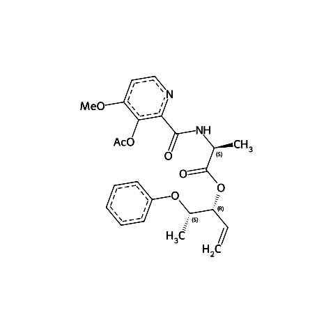 C=C[C@@H](OC(=O)[C@H](C)NC(=O)c1nccc(OC)c1OC(C)=O)[C@H](C)Oc1ccccc1